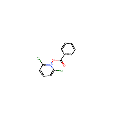 O=C(O[n+]1c(Cl)cccc1Cl)c1ccccc1